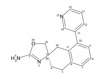 NC1=N[C@@]2(CCc3cccc(-c4cccnc4)c3C2)CO1